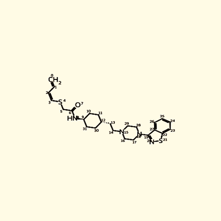 C=C/C=C\SCC(=O)N[C@H]1CC[C@H](CCN2CCN(c3nsc4ccccc34)CC2)CC1